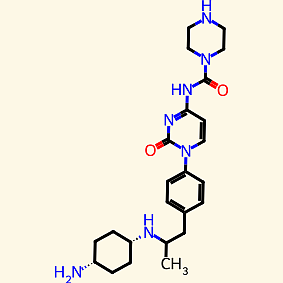 CC(Cc1ccc(-n2ccc(NC(=O)N3CCNCC3)nc2=O)cc1)N[C@H]1CC[C@@H](N)CC1